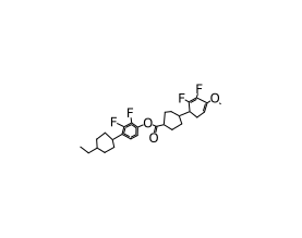 CCC1CCC(c2ccc(OC(=O)C3CCC(C4CC=C(OC)C(F)=C4F)CC3)c(F)c2F)CC1